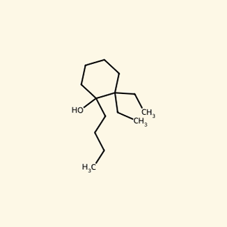 CCCCC1(O)CCCCC1(CC)CC